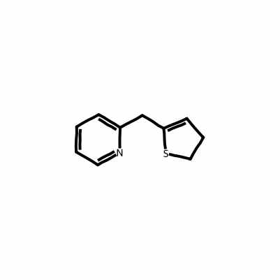 C1=C(Cc2ccccn2)SCC1